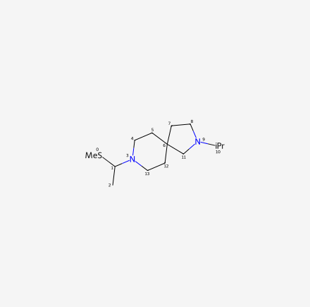 CSC(C)N1CCC2(CCN(C(C)C)C2)CC1